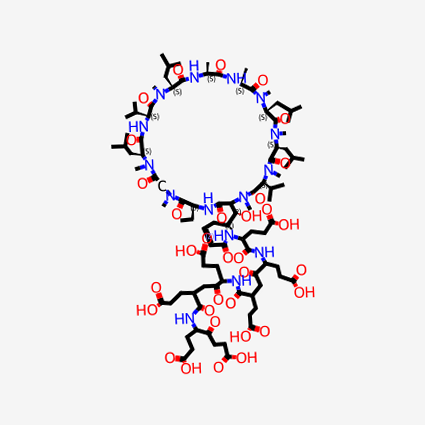 CC[C@@H]1NC(=O)C([C@H](O)[C@H](C)C/C=C\C(=O)NC(CCC(=O)O)C(=O)NC(CCC(=O)O)C(=O)CC(CCC(=O)O)C(=O)NC(CCC(=O)O)C(=O)CC(CCC(=O)O)C(=O)NC(CCC(=O)O)C(=O)CCC(=O)O)N(C)C(=O)[C@H](C(C)C)N(C)C(=O)[C@H](CC(C)C)N(C)C(=O)[C@H](CC(C)C)N(C)C(=O)[C@H](C)NC(=O)[C@H](C)NC(=O)[C@H](CC(C)C)N(C)C(=O)[C@H](C(C)C)NC(=O)[C@H](CC(C)C)N(C)C(=O)CN(C)C1=O